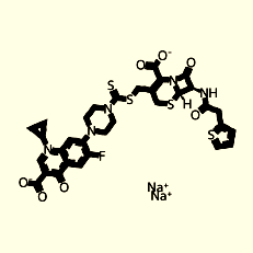 O=C(Cc1cccs1)N[C@@H]1C(=O)N2C(C(=O)[O-])=C(CSC(=S)N3CCN(c4cc5c(cc4F)c(=O)c(C(=O)[O-])cn5C4CC4)CC3)CS[C@H]12.[Na+].[Na+]